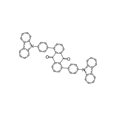 O=C1c2cccc(-c3ccc(-n4c5ccccc5c5ccccc54)cc3)c2C(=O)c2cccc(-c3ccc(-n4c5ccccc5c5ccccc54)cc3)c21